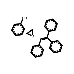 C(=C(c1ccccc1)c1ccccc1)c1ccccc1.C1CO1.Oc1ccccc1